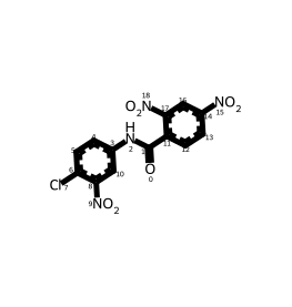 O=C(Nc1ccc(Cl)c([N+](=O)[O-])c1)c1ccc([N+](=O)[O-])cc1[N+](=O)[O-]